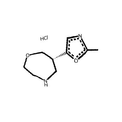 Cc1ncc([C@@H]2CNCCOC2)o1.Cl